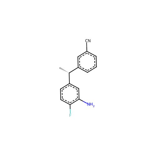 C[C@H](c1cccc(C#N)c1)c1ccc(F)c(N)c1